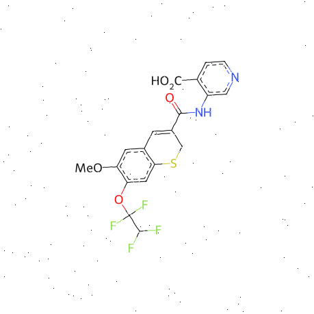 COc1cc2c(cc1OC(F)(F)C(F)F)SCC(C(=O)Nc1cnccc1C(=O)O)=C2